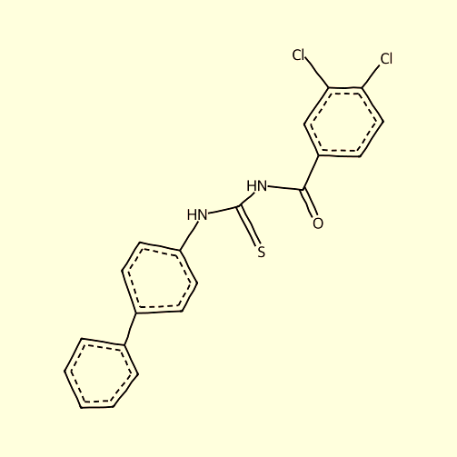 O=C(NC(=S)Nc1ccc(-c2ccccc2)cc1)c1ccc(Cl)c(Cl)c1